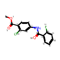 COC(=O)c1ccc(NC(=O)c2ccccc2F)cc1Cl